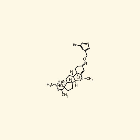 C/C(=N/N(C)C)[C@@]1(O)CC[C@H]2[C@@H]3C[C@H](C)C4=C/C(=N/OCc5cncc(Br)c5)CC[C@]4(C)[C@H]3CC[C@@]21C